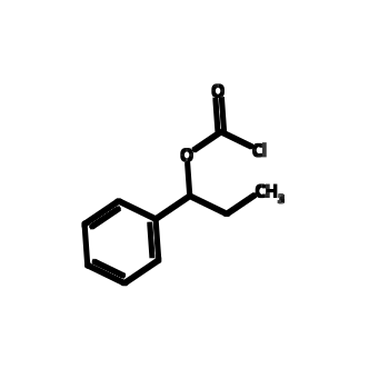 CCC(OC(=O)Cl)c1ccccc1